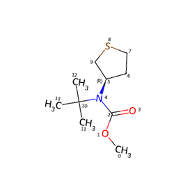 COC(=O)N([C@@H]1CCSC1)C(C)(C)C